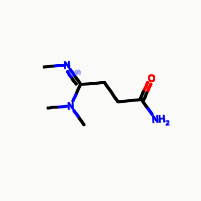 C/N=C(/CCC(N)=O)N(C)C